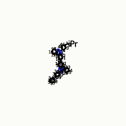 CC(C)Cc1ccc(-n2c3ccccc3c3cc(-c4ccc5c(c4)c4ccccc4n5-c4ccc(-c5ccccc5)cc4)ccc32)cc1